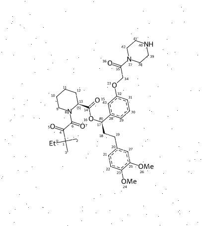 CCC(C)(C)C(=O)C(=O)N1CCCC[C@H]1C(=O)O[C@H](CCc1ccc(OC)c(OC)c1)c1cccc(OCC(=O)N2CCNCC2)c1